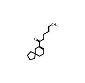 CC=CCCC(=O)C1=CCCC2(CCCC2)C1